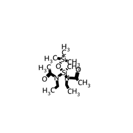 CCN(C(C)=O)[Si](C)(O[Si](C)(C)C)N(CC)C(C)=O